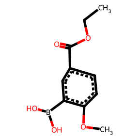 CCOC(=O)c1ccc(OC)c(B(O)O)c1